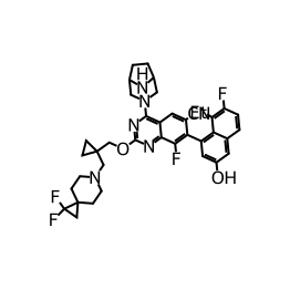 CCc1c(F)ccc2cc(O)cc(-c3c(C#N)cc4c(N5CC6CCC(C5)N6)nc(OCC5(CN6CCC7(CC6)CC7(F)F)CC5)nc4c3F)c12